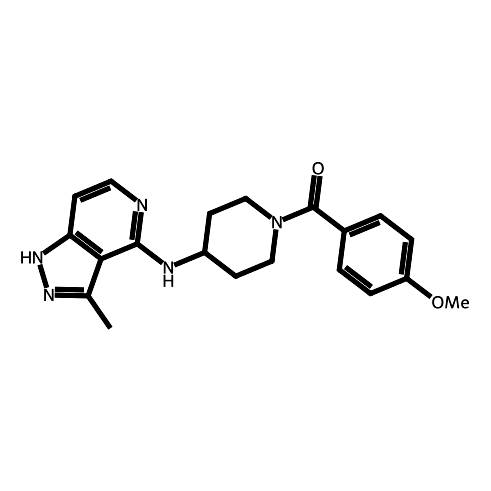 COc1ccc(C(=O)N2CCC(Nc3nccc4[nH]nc(C)c34)CC2)cc1